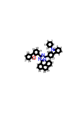 c1ccc(-n2c3ccccc3c3ccc(-c4nc(-c5cccc6c5oc5ccccc56)nc(-c5cccc6ccc7ccccc7c56)n4)cc32)cc1